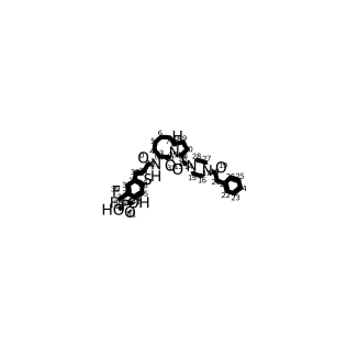 O=C(N[C@H]1CCCC[C@H]2CC[C@@H](C(=O)N3CCN(C(=O)Cc4ccccc4)CC3)N2C1=O)c1cc2cc(C(F)(F)P(=O)(O)O)ccc2s1